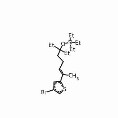 CCC(CC)(CCC=C(C)c1cc(Br)cs1)O[Si](CC)(CC)CC